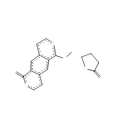 O=C1CC[C@@H](COc2nccc3cc4c(=O)[nH]ccc4cc23)N1